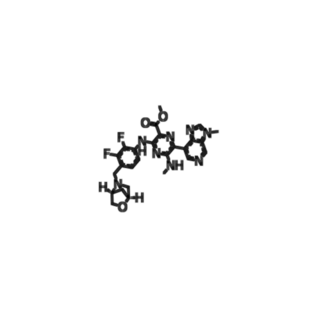 CNc1nc(Nc2ccc(CN3C[C@H]4C[C@@H]3CO4)c(F)c2F)c(C(=O)OC)nc1-c1cncc2c1ncn2C